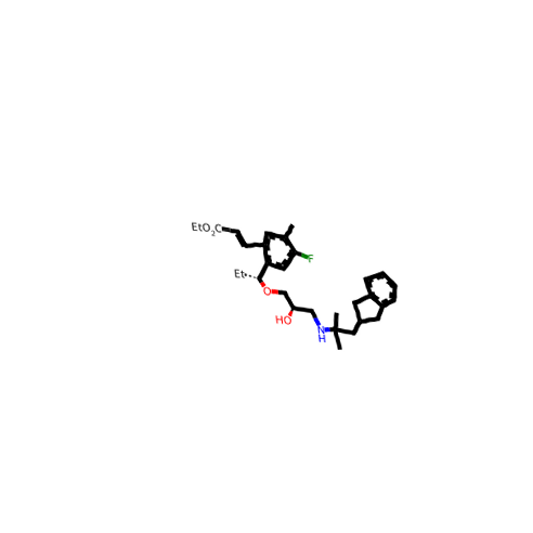 CCOC(=O)/C=C/c1cc(C)c(F)cc1[C@@H](CC)OC[C@H](O)CNC(C)(C)CC1Cc2ccccc2C1